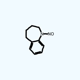 O=NN1CCCCc2ccccc21